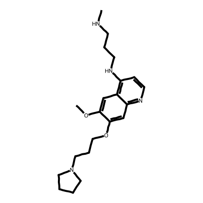 CNCCCNc1ccnc2cc(OCCCN3CCCC3)c(OC)cc12